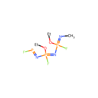 CCOP(F)(=NC)N=P(F)(/N=P/F)OCC